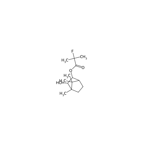 CC(C)(F)C(=O)OC1C2CCC(C)(C1O)C2(C)C